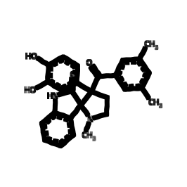 Cc1cc(C)cc(C(=O)C2(c3ccc(O)c(O)c3)CCN(C)C23C(=O)Nc2ccccc23)c1